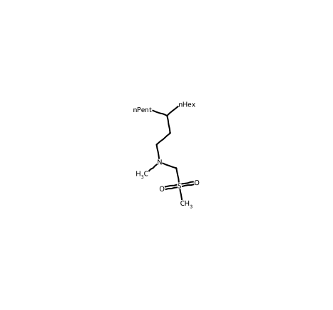 CCCCCCC(CCCCC)CCN(C)CS(C)(=O)=O